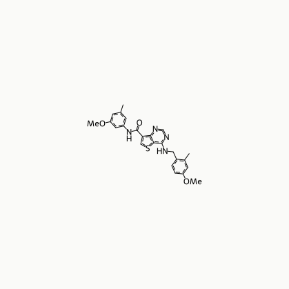 COc1cc(C)cc(NC(=O)c2csc3c(NCc4ccc(OC)cc4C)ncnc23)c1